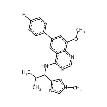 COc1cc(-c2ccc(F)cc2)cc2c(NC(c3cn(C)cn3)C(C)C)ncnc12